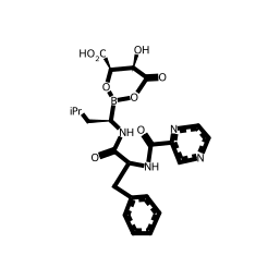 CC(C)C[C@H](NC(=O)C(Cc1ccccc1)NC(=O)c1cnccn1)B1OC(=O)[C@H](O)[C@H](C(=O)O)O1